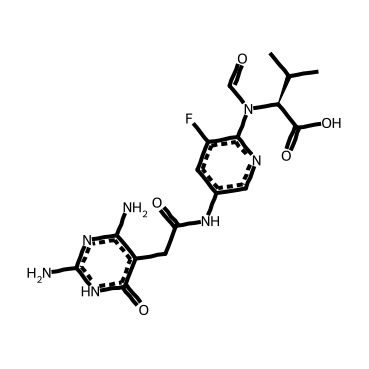 CC(C)[C@@H](C(=O)O)N(C=O)c1ncc(NC(=O)Cc2c(N)nc(N)[nH]c2=O)cc1F